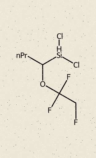 CCCC(OC(F)(F)CF)[SiH](Cl)Cl